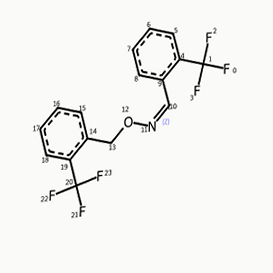 FC(F)(F)c1ccccc1/[C]=N\OCc1ccccc1C(F)(F)F